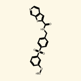 CCCCOc1cccc(S(=O)(=O)c2ccc(CNC(=O)c3cc4ccncc4s3)cc2)c1